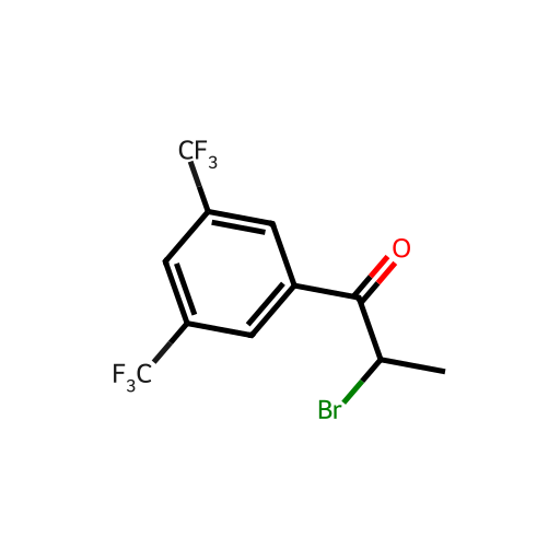 CC(Br)C(=O)c1cc(C(F)(F)F)cc(C(F)(F)F)c1